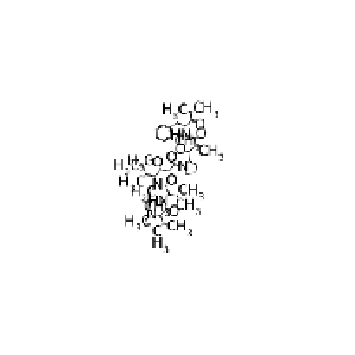 CCC(C)C(C(CC(=O)N1CCCC1C(OC)C(C)C(=O)NC(Cc1ccccc1)C(=O)C(C)C)OC)N(C)C(=O)C(NC(=O)C(C(C)C)N(C)C)C(C)C